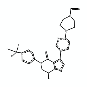 C[C@H]1CN(c2ccc(C(F)(F)F)cc2)C(=O)c2c(-c3ccc(N4CCN(C=O)CC4)nc3)cnn21